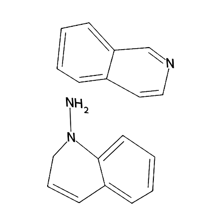 NN1CC=Cc2ccccc21.c1ccc2cnccc2c1